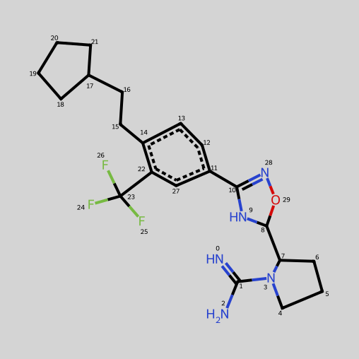 N=C(N)N1CCCC1C1NC(c2ccc(CCC3CCCC3)c(C(F)(F)F)c2)=NO1